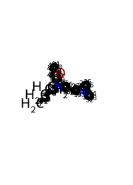 C=C/C=C\C(=C)C(=C)/C=C\C(=C)N(c1ccc(-c2ccc3c(c2)C2CC=Cc4c2n-3c2ccccc42)cc1)C1/C=C/Oc2ccccc2/C=C/C1